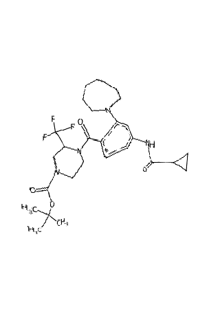 CC(C)(C)OC(=O)N1CCN(C(=O)c2ccc(NC(=O)C3CC3)cc2N2CCCCCC2)C(C(F)(F)F)C1